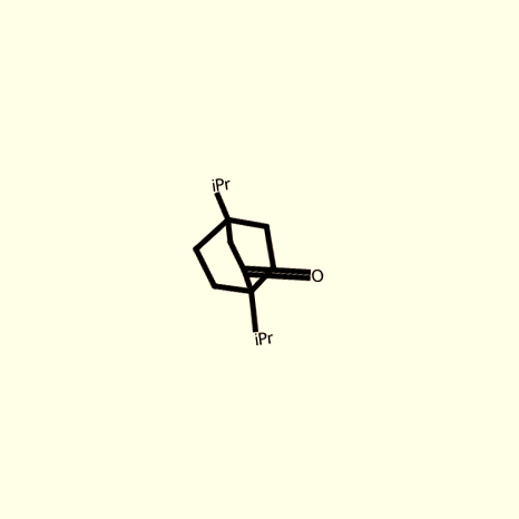 CC(C)C12CCC(C(C)C)(CC1)C(=O)C2